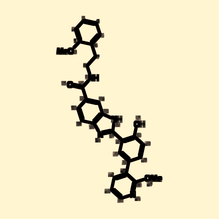 COc1ccccc1CCNC(=O)c1ccc2nc(-c3cc(-c4cccnc4OC)ccc3O)[nH]c2c1